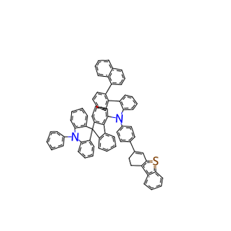 C1=C(c2ccc(N(c3ccccc3-c3ccccc3-c3cccc4ccccc34)c3cccc4c3-c3ccccc3C43c4ccccc4N(c4ccccc4)c4ccccc43)cc2)CCc2c1sc1ccccc21